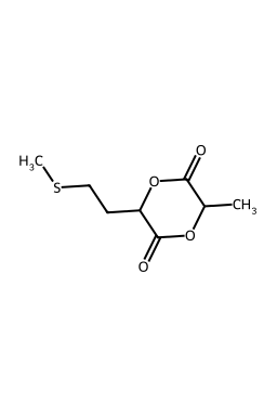 CSCCC1OC(=O)C(C)OC1=O